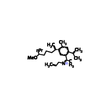 C=CC/N=C(/C)c1cc(C(=C)CCCC(CCC)OC)c(C)cc1C(=C)C